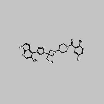 N#CCC1(n2cc(-c3c(C#N)cnc4[nH]ccc34)cn2)CN(C2CCN(C(=O)c3cc(Br)ccc3Br)CC2)C1